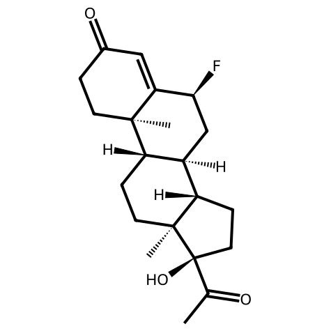 CC(=O)[C@@]1(O)CC[C@H]2[C@@H]3C[C@H](F)C4=CC(=O)CC[C@]4(C)[C@H]3CC[C@@]21C